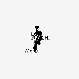 CNC(=O)c1ccc(/C=C/C(=O)NCC(=O)N(C)c2ccc(C)c(COc3cccc4c(OCc5ccccn5)cc(C)nc34)c2C)cc1